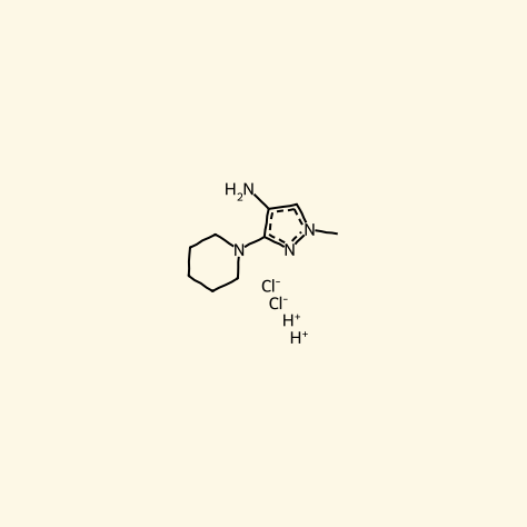 Cn1cc(N)c(N2CCCCC2)n1.[Cl-].[Cl-].[H+].[H+]